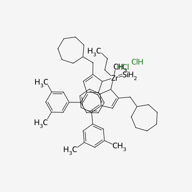 CC[CH2][Zr]([CH3])(=[SiH2])([CH]1C(CC2CCCCCC2)=Cc2c(-c3cc(C)cc(C)c3)cccc21)[CH]1C(CC2CCCCCC2)=Cc2c(-c3cc(C)cc(C)c3)cccc21.Cl.Cl